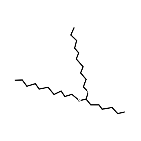 [Li][CH2]CCCCC(OCCCCCCCCCC)OCCCCCCCCCC